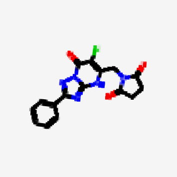 O=C1CCC(=O)N1Cc1[nH]c2nc(-c3ccccc3)nn2c(=O)c1Cl